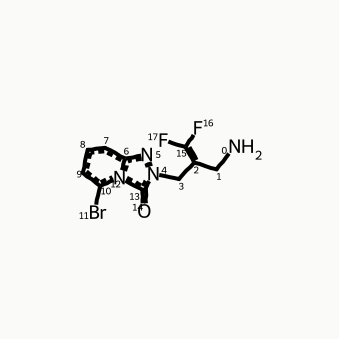 NCC(Cn1nc2cccc(Br)n2c1=O)=C(F)F